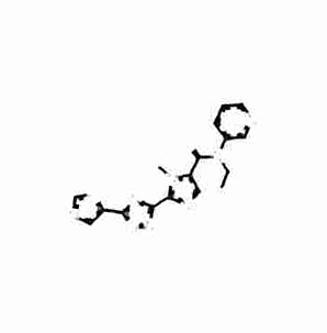 CCN(C(=O)c1cnc(-c2noc(-c3cnco3)n2)n1C)c1cccnc1